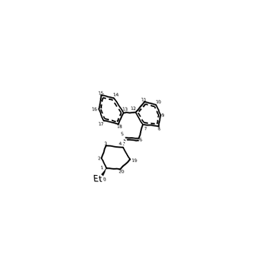 CC[C@H]1CC[C@H](C=Cc2ccccc2-c2ccccc2)CC1